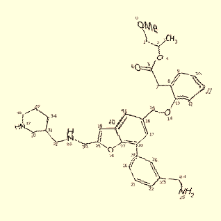 COCC(C)OC(=O)Cc1ccccc1OCc1cc(-c2cccc(CN)c2)c2oc(CNCC3CCCNC3)cc2c1